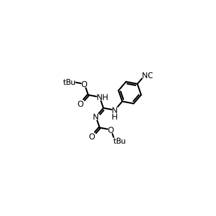 [C-]#[N+]c1ccc(NC(=NC(=O)OC(C)(C)C)NC(=O)OC(C)(C)C)cc1